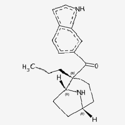 CCC[C@@]1(C(=O)c2ccc3cc[nH]c3c2)CC[C@@H]2CC[C@H]1N2